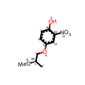 CO[C@H](C)COc1ccc(O)c([N+](=O)[O-])c1